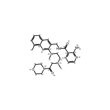 Cc1cccc2cc(CNC(=O)c3nccnc3N)c(N(C)CCN(C)CC(=O)N3CCOCC3)nc12